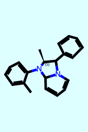 Cc1ccccc1N1C2C=CC=CN2C(c2ccccc2)[C@@H]1C